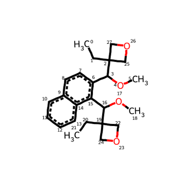 CCC1(C(OC)c2ccc3ccccc3c2C(OC)C2(CC)COC2)COC1